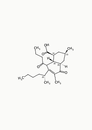 CCCC[C@@H](C)C1=C(C)C(=O)[C@@H]2C[C@H](C)C[C@H](C(=O)O)[C@H]2C1C(=O)CCC